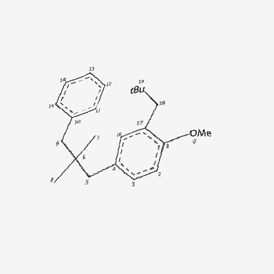 COc1ccc(CC(C)(C)Cc2ccccc2)cc1CC(C)(C)C